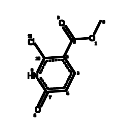 COC(=O)c1ccc(=O)[nH]c1Cl